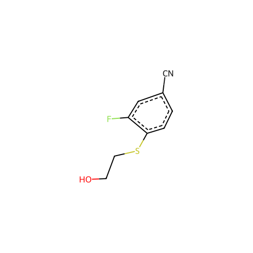 N#Cc1ccc(SCCO)c(F)c1